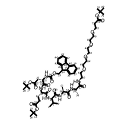 CC(C)[C@H](NC(=O)[C@H](CCC(=O)OC(C)(C)C)NC(=O)[C@H](CC(=O)OC(C)(C)C)NC(=O)OCC1c2ccccc2-c2ccccc21)C(=O)N[C@@H](C)C(=O)N[C@@H](C)C(=O)NCCOCCOCCOCCOCCC(=O)OC(C)(C)C